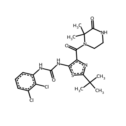 CC(C)(C)c1nc(C(=O)N2CCNC(=O)C2(C)C)c(NC(=O)Nc2cccc(Cl)c2Cl)s1